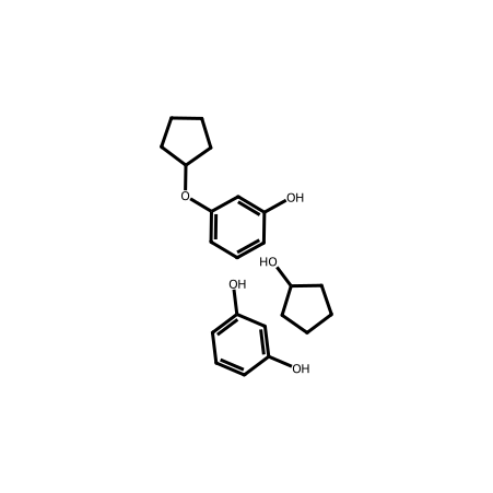 OC1CCCC1.Oc1cccc(O)c1.Oc1cccc(OC2CCCC2)c1